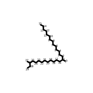 [CH2]C(CCCCCCCCCCCCCC)CCCCCCCCCCC(C)CC